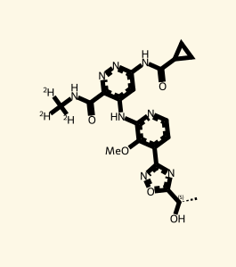 [2H]C([2H])([2H])NC(=O)c1nnc(NC(=O)C2CC2)cc1Nc1nccc(-c2noc([C@H](C)O)n2)c1OC